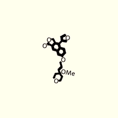 COC1(C=CCOc2ccc3c(-c4ccoc4)c4c(cc3c2)C(=O)OC4)CCOCC1